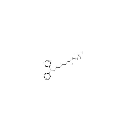 CS(=O)(=O)NC(=O)N(O)CCCCCCC(c1ccccc1)c1cccnc1